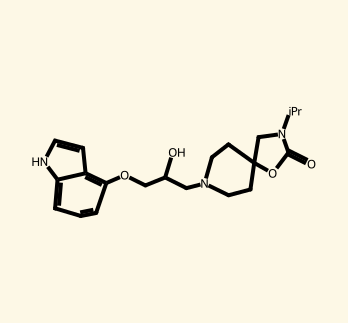 CC(C)N1CC2(CCN(CC(O)COc3cccc4[nH]ccc34)CC2)OC1=O